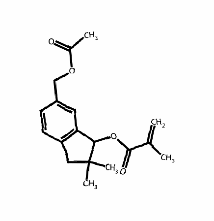 C=C(C)C(=O)OC1c2cc(COC(C)=O)ccc2CC1(C)C